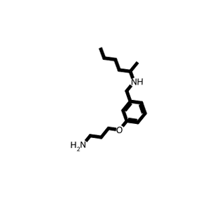 CCCCC(C)NCc1cccc(OCCCN)c1